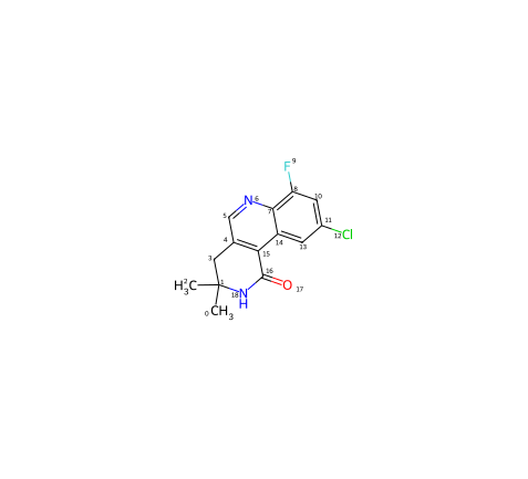 CC1(C)Cc2cnc3c(F)cc(Cl)cc3c2C(=O)N1